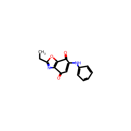 CCc1nc2c(o1)C(=O)C(Nc1ccccc1)=CC2=O